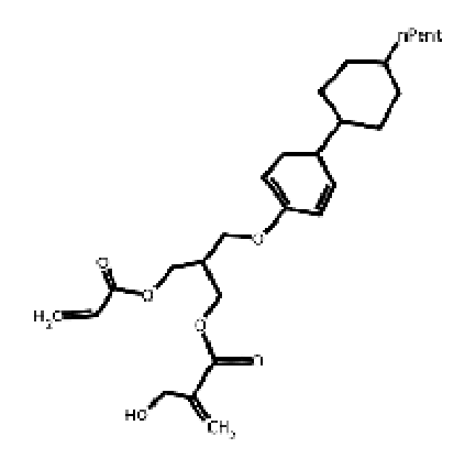 C=CC(=O)OCC(COC(=O)C(=C)CO)COC1=CCC(C2CCC(CCCCC)CC2)C=C1